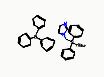 CCCC[Si](Cn1ccnc1)(c1ccccc1)c1ccccc1.c1ccc(B(c2ccccc2)c2ccccc2)cc1